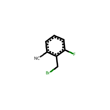 N#Cc1cccc(F)c1CBr